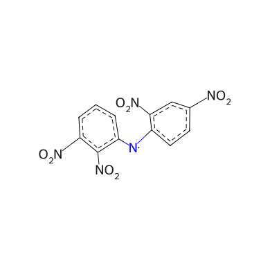 O=[N+]([O-])c1ccc([N]c2cccc([N+](=O)[O-])c2[N+](=O)[O-])c([N+](=O)[O-])c1